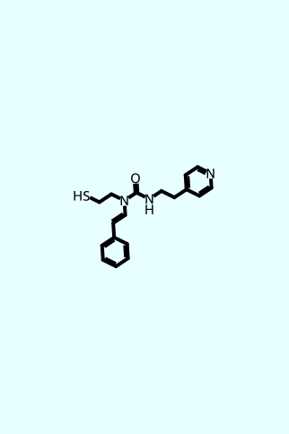 O=C(NCCc1ccncc1)N(C=Cc1ccccc1)CCS